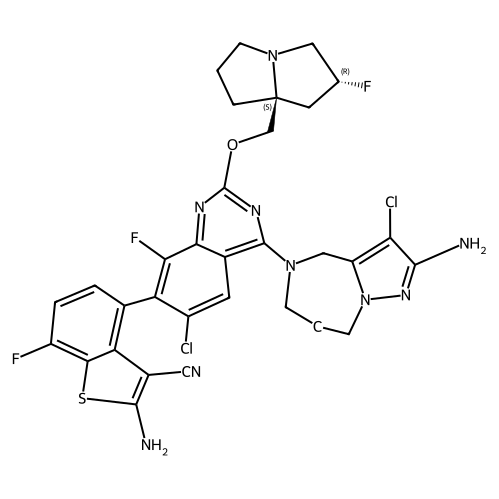 N#Cc1c(N)sc2c(F)ccc(-c3c(Cl)cc4c(N5CCCn6nc(N)c(Cl)c6C5)nc(OC[C@@]56CCCN5C[C@H](F)C6)nc4c3F)c12